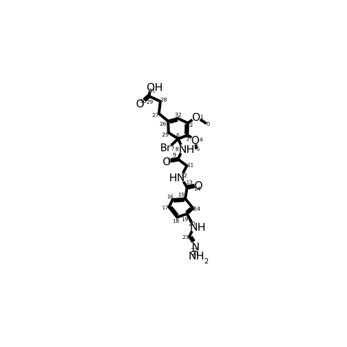 COC1=C(OC)C(Br)(NC(=O)CNC(=O)c2cccc(NC=NN)c2)CC(CCC(=O)O)=C1